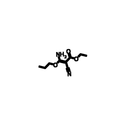 CCCO/C(N)=C(\C#N)C(=O)OCC